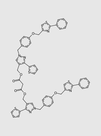 O=C(CC(=O)OCc1cn(Cc2ccc(OCc3csc(-c4ccccc4)n3)cc2)nc1-c1cccs1)OCc1cn(Cc2ccc(OCc3csc(-c4ccccc4)n3)cc2)nc1-c1cccs1